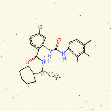 Cc1ccc(NC(=O)Nc2cc(Cl)ccc2C(=O)N[C@H](C(=O)O)C2CCCCC2)c(C)c1C